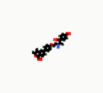 CCC(C)c1cc(-c2ccc(OCCN[C@H](C)[C@@H](O)c3ccc(O)cc3)cc2)ccc1C(=O)O